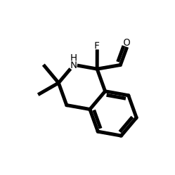 CC1(C)Cc2ccccc2C(F)(C=O)N1